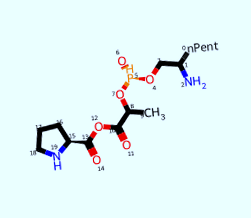 CCCCCC(N)CO[P@H](=O)OC(C)C(=O)OC(=O)[C@@H]1CCCN1